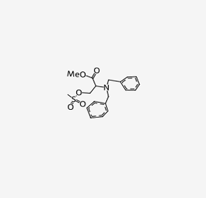 COC(=O)C(COS(C)(=O)=O)N(Cc1ccccc1)Cc1ccccc1